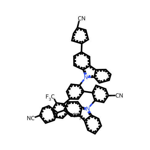 N#Cc1ccc(-c2ccc3c(c2)c2ccccc2n3-c2ccc(-c3c(C(F)(F)F)cccc3C(F)(F)F)cc2-c2ccc(C#N)cc2-n2c3ccccc3c3cc(-c4ccc(C#N)cc4)ccc32)cc1